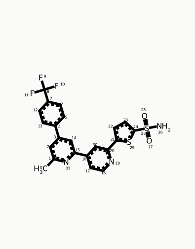 Cc1cc(-c2ccc(C(F)(F)F)cc2)cc(-c2ccnc(-c3ccc(S(N)(=O)=O)s3)c2)n1